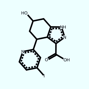 O=C(O)c1n[nH]c2c1C(c1cc(I)ccn1)CC(O)C2